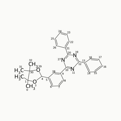 CC1(C)OC(c2cccc(-c3nc(-c4ccccc4)nc(-c4ccccc4)n3)c2)OC1(C)C